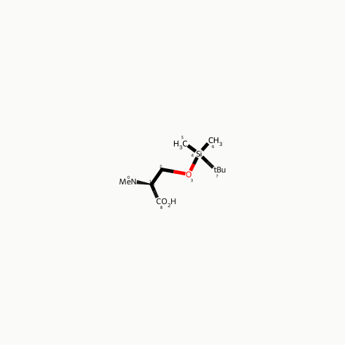 CN[C@@H](CO[Si](C)(C)C(C)(C)C)C(=O)O